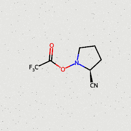 N#C[C@@H]1CCCN1OC(=O)C(F)(F)F